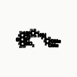 COc1ccc(CCNCCc2ccc(NC(=O)c3cccc4c(=O)c5cccc([N+](=O)[O-])c5[nH]c34)cc2)cc1OC